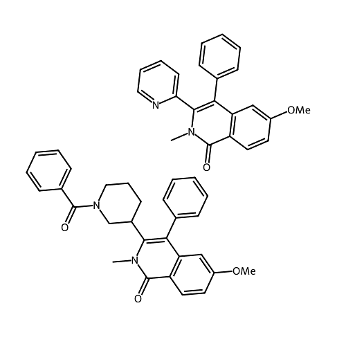 COc1ccc2c(=O)n(C)c(-c3ccccn3)c(-c3ccccc3)c2c1.COc1ccc2c(=O)n(C)c(C3CCCN(C(=O)c4ccccc4)C3)c(-c3ccccc3)c2c1